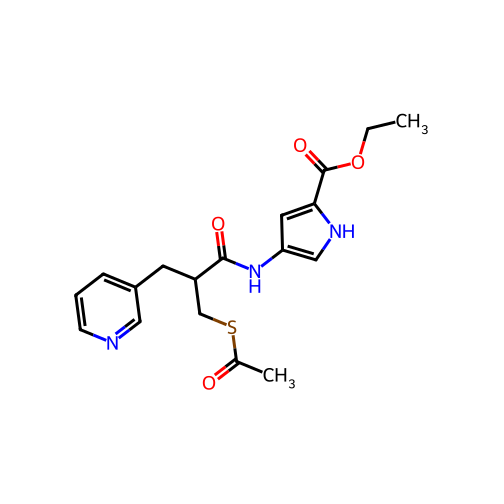 CCOC(=O)c1cc(NC(=O)C(CSC(C)=O)Cc2cccnc2)c[nH]1